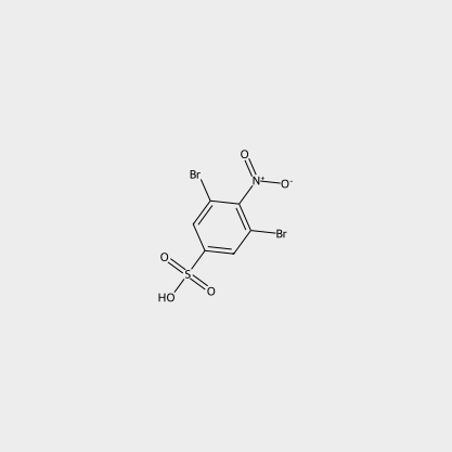 O=[N+]([O-])c1c(Br)cc(S(=O)(=O)O)cc1Br